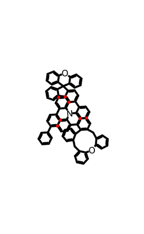 c1ccc(-c2ccc(-c3ccccc3N(c3ccccc3-c3ccc4c(c3)-c3ccccc3C43c4ccccc4Oc4ccccc43)c3ccccc3-c3cccc4c3-c3ccccc3Cc3ccccc3Oc3ccccc3C4)cc2)cc1